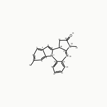 Cc1ccc2cc3n(c2c1)-c1ccccc1N=C1C3CC(=O)N1C